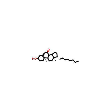 CCCCCCCC[C@H]1CCC2C3C(=O)C=C4CC(O)CC[C@]4(C)C3CC[C@@]21C